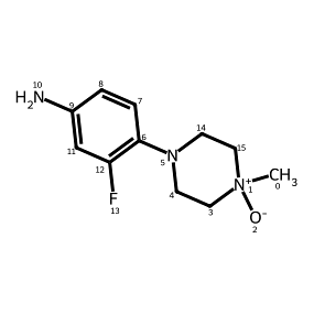 C[N+]1([O-])CCN(c2ccc(N)cc2F)CC1